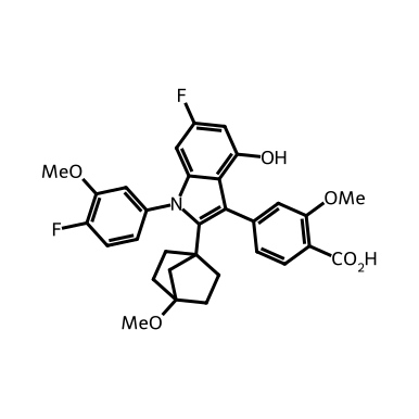 COc1cc(-n2c(C34CCC(OC)(CC3)C4)c(-c3ccc(C(=O)O)c(OC)c3)c3c(O)cc(F)cc32)ccc1F